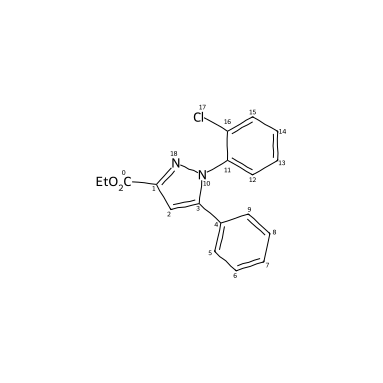 CCOC(=O)c1cc(-c2ccccc2)n(-c2ccccc2Cl)n1